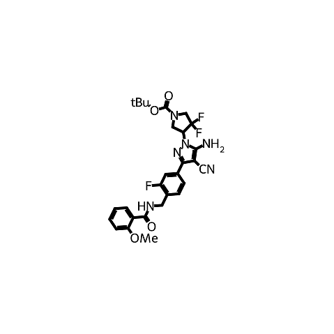 COc1ccccc1C(=O)NCc1ccc(-c2nn(C3CN(C(=O)OC(C)(C)C)CC3(F)F)c(N)c2C#N)cc1F